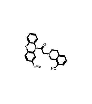 CSc1ccc2c(c1)N(C(=O)CN1CCc3cccc(O)c3C1)c1ccccc1S2